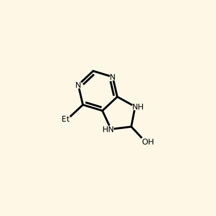 CCc1ncnc2c1NC(O)N2